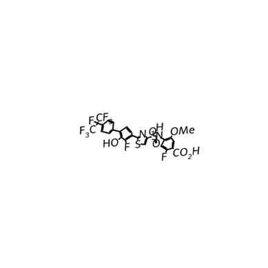 COc1cc(C(=O)O)c(F)cc1NS(=O)(=O)c1csc(-c2ccc(-c3ccc(C(F)(C(F)(F)F)C(F)(F)F)cc3)c(O)c2F)n1